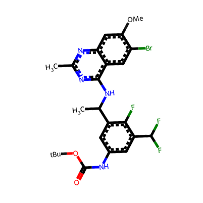 COc1cc2nc(C)nc(NC(C)c3cc(NC(=O)OC(C)(C)C)cc(C(F)F)c3F)c2cc1Br